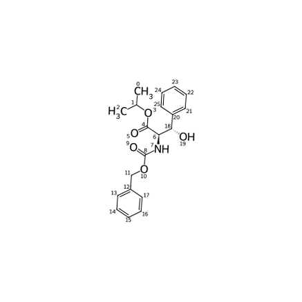 CC(C)OC(=O)[C@H](NC(=O)OCc1ccccc1)[C@@H](O)c1ccccc1